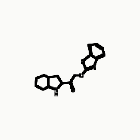 O=C(COc1nc2ccccc2s1)C1CC2CCCCC2N1